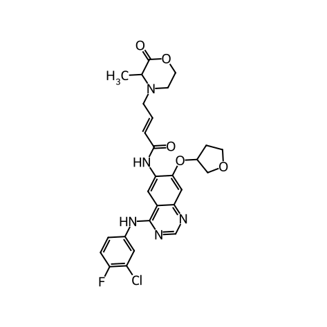 CC1C(=O)OCCN1CC=CC(=O)Nc1cc2c(Nc3ccc(F)c(Cl)c3)ncnc2cc1OC1CCOC1